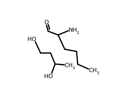 CC(O)CCO.CCCCC(N)C=O